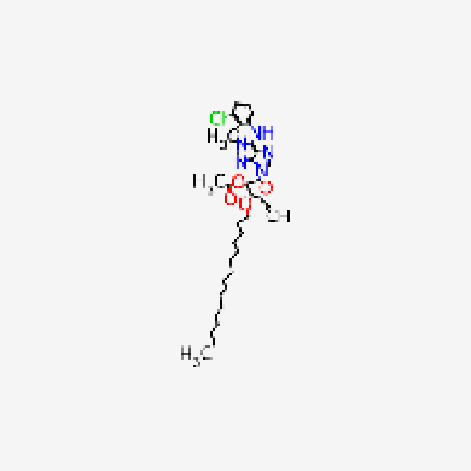 C#CC1OC(n2cnc3c(Nc4cccc(Cl)c4C)ncnc32)C(OC(C)=O)C1OCCCCCCCCCCCCCCCC